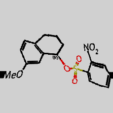 COc1ccc2c(c1)[C@H](OS(=O)(=O)c1ccccc1[N+](=O)[O-])CCC2